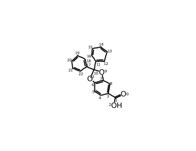 O=C(O)c1ccc2c(c1)OC(c1ccccc1)(c1ccccc1)O2